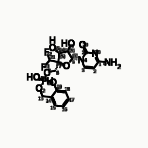 Nc1ccn([C@@H]2O[C@@](CO[PH]3(O)OCc4ccccc4O3)(C(F)F)[C@@H](O)[C@H]2O)c(=O)n1